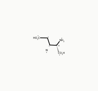 N[C@@H](CCC(=O)O)C(=O)O.[N]